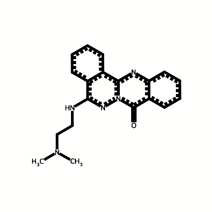 CN(C)CCNc1nn2c(=O)c3ccccc3nc2c2ccccc12